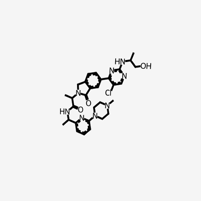 CC(CO)Nc1ncc(Cl)c(-c2ccc3c(c2)C(=O)N(C(C)C(=O)NC(C)c2cccc(N4CCN(C)CC4)n2)C3)n1